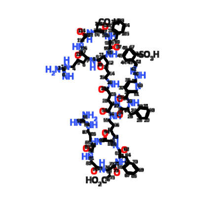 N=C(N)NCCC[C@@H]1NC(=O)C(CCCCNC(=O)CCC(NC(=O)[C@H](Cc2ccccc2)NC(=O)c2ccc(NN=Cc3ccccc3S(=O)(=O)O)nc2)C(=O)NCCCC[C@@H]2NC(=O)[C@@H](Cc3ccccc3)NC(=O)[C@H](CC(=O)O)NC(=O)CNC(=O)[C@H](CCCNC(=N)N)NC2=O)NC(=O)[C@@H](Cc2ccccc2)NC(=O)[C@H](CC(=O)O)NC(=O)CNC1=O